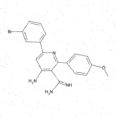 COc1ccc(-c2nc(-c3cccc(Br)c3)cc(N)c2C(=N)N)cc1